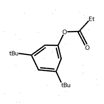 CCC(=O)Oc1cc(C(C)(C)C)cc(C(C)(C)C)c1